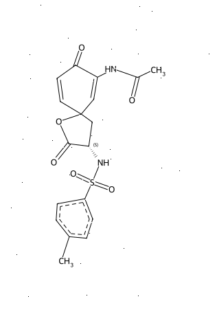 CC(=O)NC1=CC2(C=CC1=O)C[C@H](NS(=O)(=O)c1ccc(C)cc1)C(=O)O2